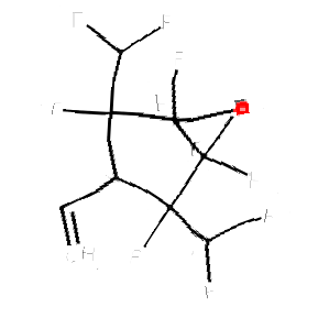 C=C[C](C(F)(C(F)F)C(F)(F)F)C(F)(C(F)F)C(F)(F)F